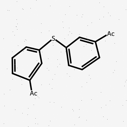 CC(=O)c1cccc(Sc2cccc(C(C)=O)c2)c1